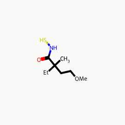 CCC(C)(CCOC)C(=O)NS